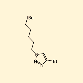 CCc1cn(CCCCCC(C)(C)C)nn1